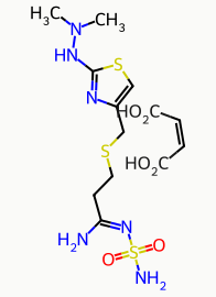 CN(C)Nc1nc(CSCCC(N)=NS(N)(=O)=O)cs1.O=C(O)/C=C\C(=O)O